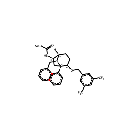 COC(=O)N[C@@H]1C[C@@]2(c3ccccc3)[C@H](OCc3cc(C(F)(F)F)cc(C(F)(F)F)c3)CC[C@@H]1N2Cc1ccccc1